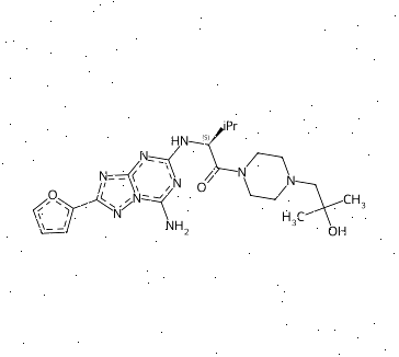 CC(C)[C@H](Nc1nc(N)n2nc(-c3ccco3)nc2n1)C(=O)N1CCN(CC(C)(C)O)CC1